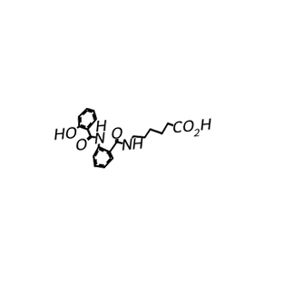 O=C(O)CCCCCNC(=O)c1ccccc1NC(=O)c1ccccc1O